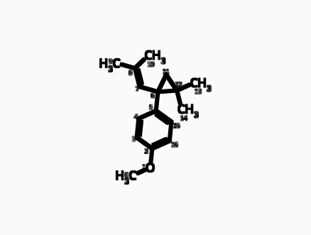 COc1ccc(C2(C=C(C)C)CC2(C)C)cc1